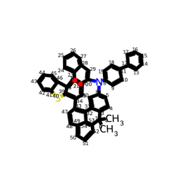 CC1(C)c2ccc(N(c3ccc(-c4ccccc4)cc3)c3ccc4ccccc4c3)cc2-c2c(-c3cccc4c3sc3ccccc34)ccc3cccc1c23